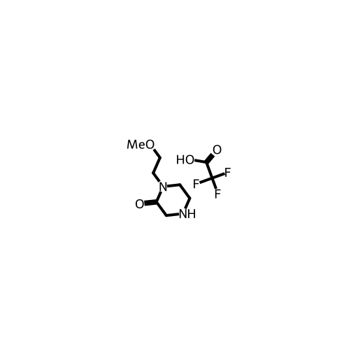 COCCN1CCNCC1=O.O=C(O)C(F)(F)F